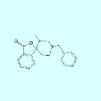 CC1CN(Cc2ccccc2)CCC12OC(=O)c1ccccc12